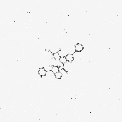 CN(C)C(=O)n1cc(C(=O)[N+]23C=CC=C2C(c2cccnc2)NN3)c2ccc(-c3ccccc3)cc21